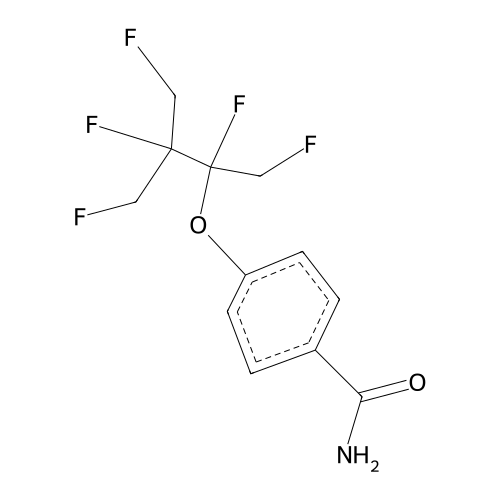 NC(=O)c1ccc(OC(F)(CF)C(F)(CF)CF)cc1